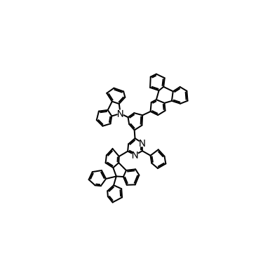 c1ccc(-c2nc(-c3cc(-c4ccc5c6ccccc6c6ccccc6c5c4)cc(-n4c5ccccc5c5ccccc54)c3)cc(-c3cccc4c3-c3ccccc3C4(c3ccccc3)c3ccccc3)n2)cc1